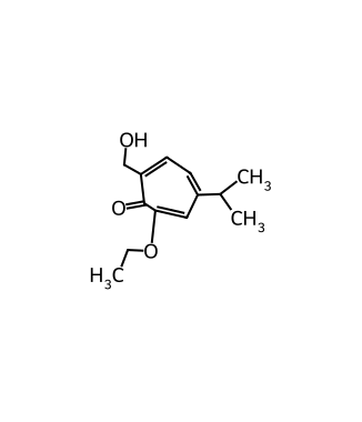 CCOc1cc(C(C)C)ccc(CO)c1=O